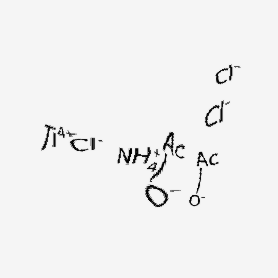 CC(=O)[O-].CC(=O)[O-].[Cl-].[Cl-].[Cl-].[NH4+].[Ti+4]